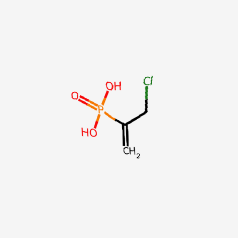 C=C(CCl)P(=O)(O)O